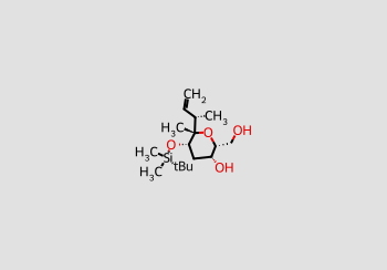 C=C[C@H](C)[C@]1(C)O[C@H](CO)[C@H](O)C[C@@H]1O[Si](C)(C)C(C)(C)C